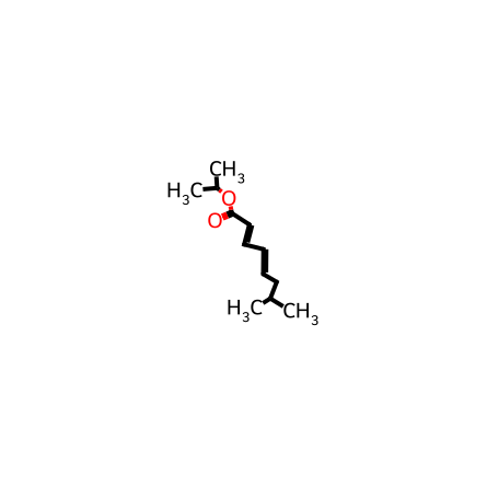 CC(C)C/C=C/C=C/C(=O)OC(C)C